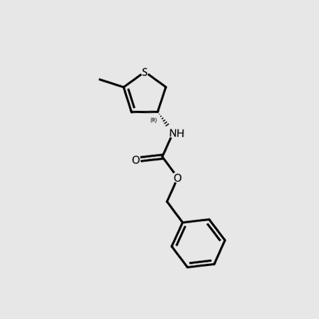 CC1=C[C@@H](NC(=O)OCc2ccccc2)CS1